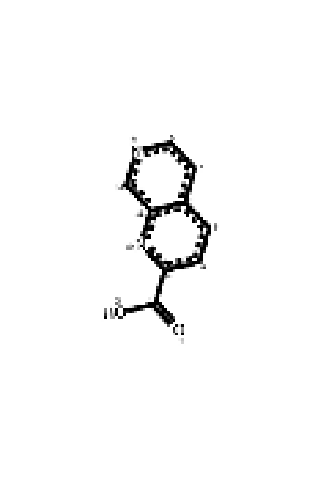 O=C(O)c1ccc2ccncc2n1